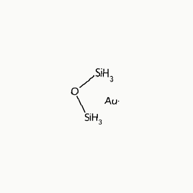 [Au].[SiH3]O[SiH3]